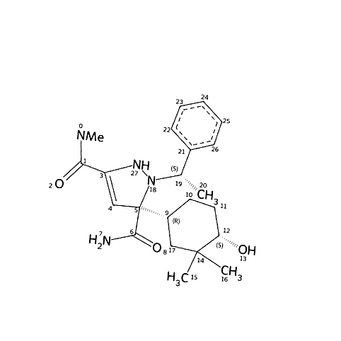 CNC(=O)C1=CC(C(N)=O)([C@@H]2CC[C@H](O)C(C)(C)C2)N([C@@H](C)c2ccccc2)N1